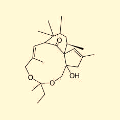 CCC1(C)OC/C(C)=C/C2C(=O)C3(C=C(C)CC3(O)CO1)[C@H](C)CC(C)C2(C)C